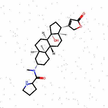 CN(C(=O)C1CCCN1)[C@H]1CC[C@@]2(C)[C@H](CC[C@@H]3[C@@H]2CC[C@]2(C)[C@@H](C4=CC(=O)OC4)CC[C@]32O)C1